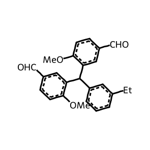 CCc1cccc(C(c2cc(C=O)ccc2OC)c2cc(C=O)ccc2OC)c1